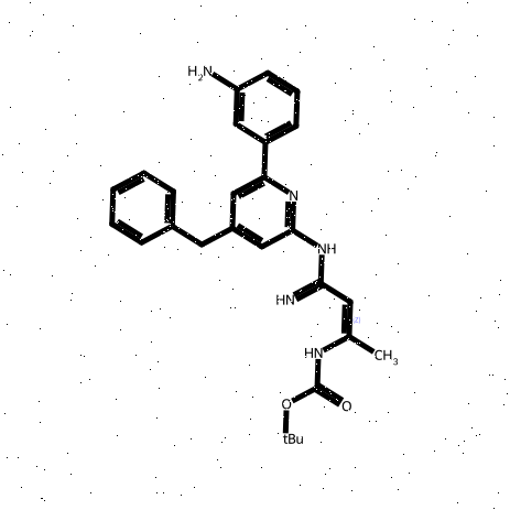 C/C(=C/C(=N)Nc1cc(Cc2ccccc2)cc(-c2cccc(N)c2)n1)NC(=O)OC(C)(C)C